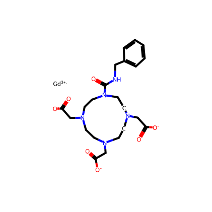 O=C([O-])CN1CCN(CC(=O)[O-])CCN(C(=O)NCc2ccccc2)CCN(CC(=O)[O-])CC1.[Gd+3]